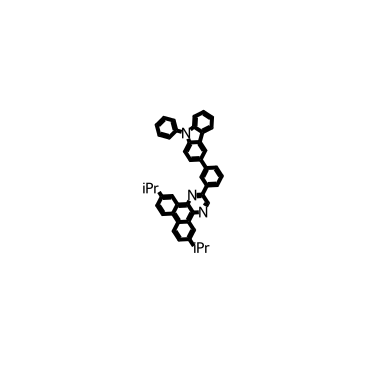 CC(C)c1ccc2c3ccc(C(C)C)cc3c3nc(-c4cccc(-c5ccc6c(c5)c5ccccc5n6-c5ccccc5)c4)cnc3c2c1